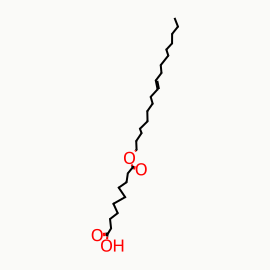 CCCCCCCCC=CCCCCCCCCOC(=O)CCCCCCCCC(=O)O